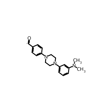 CN(C)c1cccc(N2CCN(c3ccc([C]=O)cc3)CC2)c1